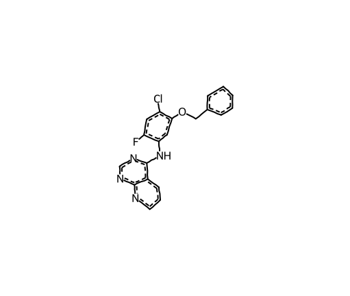 Fc1cc(Cl)c(OCc2ccccc2)cc1Nc1ncnc2ncccc12